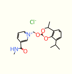 CNC(=O)c1ccc[n+](COC(=O)Oc2c(C(C)C)cccc2C(C)C)c1.[Cl-]